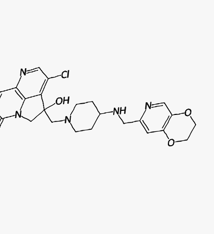 O=c1ccc2ncc(Cl)c3c2n1CC3(O)CN1CCC(NCc2cc3c(cn2)OCCO3)CC1